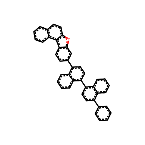 c1ccc(-c2ccc(-c3ccc(-c4ccc5c(c4)oc4ccc6ccccc6c45)c4ccccc34)c3ccccc23)cc1